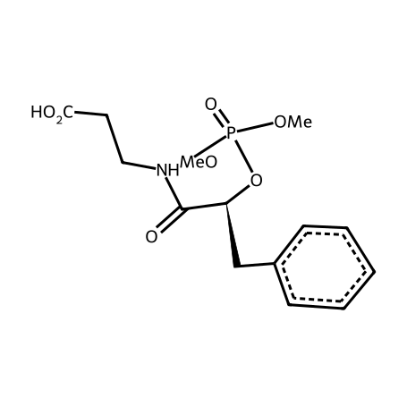 COP(=O)(OC)O[C@@H](Cc1ccccc1)C(=O)NCCC(=O)O